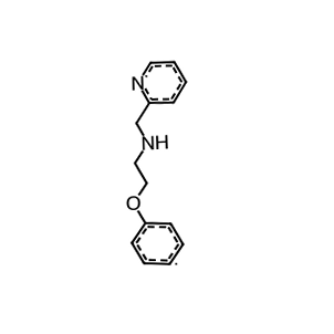 [c]1ccc(OCCNCc2ccccn2)cc1